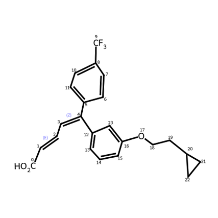 O=C(O)/C=C/C=C(/c1ccc(C(F)(F)F)cc1)c1cccc(OCCC2CC2)c1